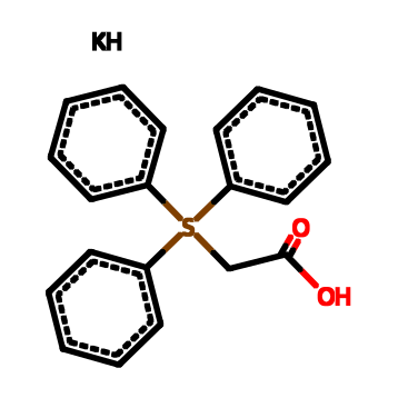 O=C(O)CS(c1ccccc1)(c1ccccc1)c1ccccc1.[KH]